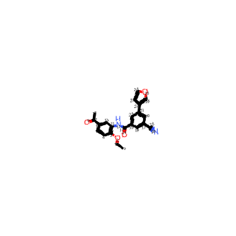 CCOc1ccc(C(C)=O)cc1NC(=O)c1cc(C#N)cc(-c2ccoc2)c1